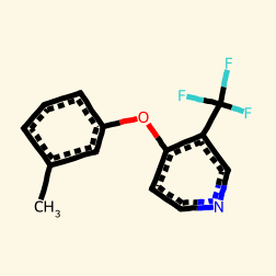 Cc1cccc(Oc2ccncc2C(F)(F)F)c1